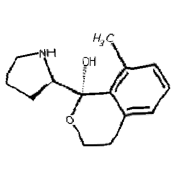 Cc1cccc2c1[C@](O)([C@H]1CCCN1)OCC2